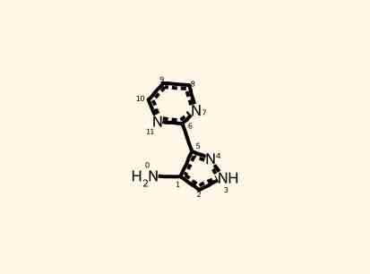 Nc1c[nH]nc1-c1ncccn1